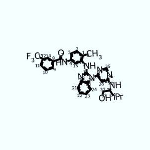 Cc1ccc(NC(=O)c2cccc(C(F)(F)F)c2)cc1Nc1nc2ccccc2n1-c1cc(NC(CO)C(C)C)ncn1